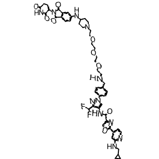 O=C1CCC(N2C(=O)c3ccc(NC4CCN(CCOCCOCCOCCNCc5ccc(-n6cc(NC(=O)c7coc(-c8ccnc(NCC9CC9)c8)n7)c(C(F)F)n6)cc5)CC4)cc3C2=O)C(=O)N1